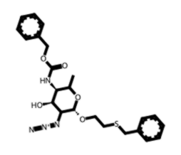 CC1O[C@H](OCCSCc2ccccc2)C(N=[N+]=[N-])[C@@H](O)[C@H]1NC(=O)OCc1ccccc1